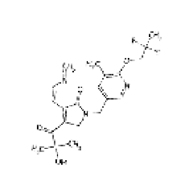 C=N/C=C\C1=C(C(=O)C(C)(C)O)CN(Cc2cnc(OCC(C)(F)F)c(C)c2)C1=O